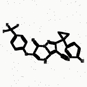 N#Cc1c(C2(c3ccc(Cl)cc3)CC2)nn2c(=O)c(Oc3ccc(C(F)(F)F)cc3)c[nH]c12